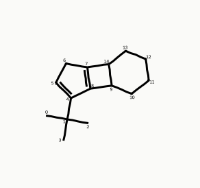 CC(C)(C)C1=[C]CC2=C1C1CCCCC21